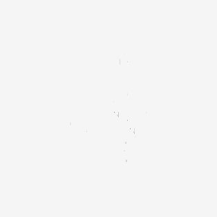 Cc1c(-c2cccs2)n(COCCO)c(=O)[nH]c1=O